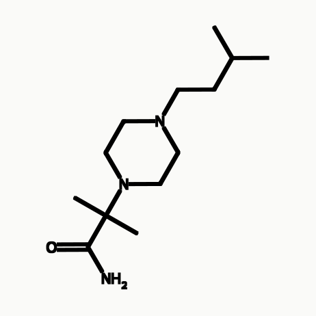 CC(C)CCN1CCN(C(C)(C)C(N)=O)CC1